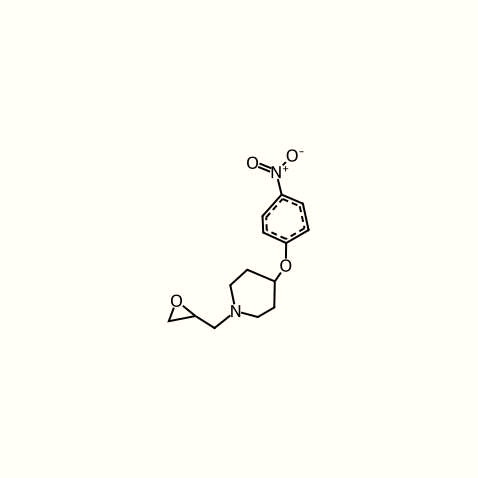 O=[N+]([O-])c1ccc(OC2CCN(CC3CO3)CC2)cc1